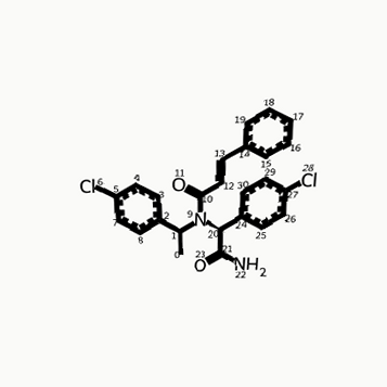 CC(c1ccc(Cl)cc1)N(C(=O)/C=C/c1ccccc1)[C@H](C(N)=O)c1ccc(Cl)cc1